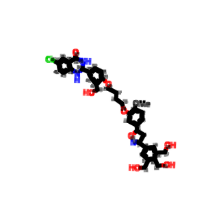 COc1ccc(C2CC(c3cc(CO)c(CO)c(CO)c3)=NO2)cc1OCCCCOc1ccc(C2NC(=O)c3cc(Cl)ccc3N2)cc1CO